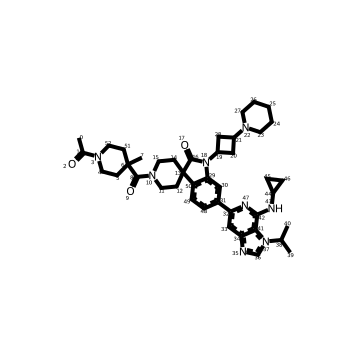 CC(=O)N1CCC(C)(C(=O)N2CCC3(CC2)C(=O)N(C2CC(N4CCCCC4)C2)c2cc(-c4cc5ncn(C(C)C)c5c(NC5CC5)n4)ccc23)CC1